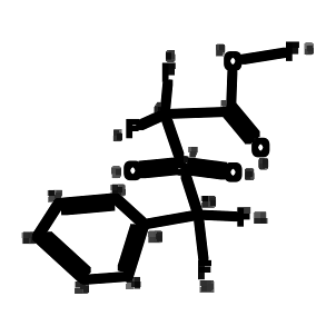 O=C(OF)C(F)(F)S(=O)(=O)C(F)(F)c1ccccc1